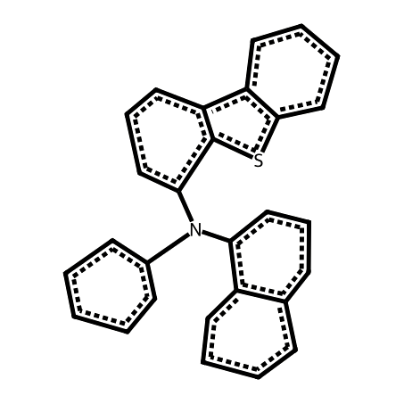 c1ccc(N(c2cccc3ccccc23)c2cccc3c2sc2ccccc23)cc1